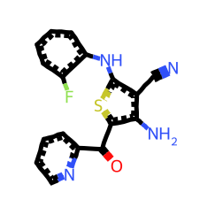 N#Cc1c(Nc2ccccc2F)sc(C(=O)c2ccccn2)c1N